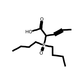 CC#CC(C(=O)O)P(=O)(CCCC)CCCC